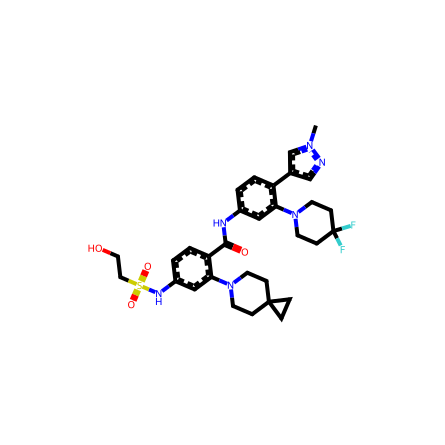 Cn1cc(-c2ccc(NC(=O)c3ccc(NS(=O)(=O)CCO)cc3N3CCC4(CC3)CC4)cc2N2CCC(F)(F)CC2)cn1